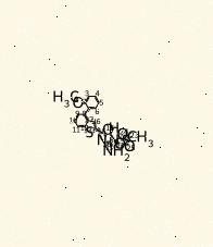 COc1ccccc1-c1cccc2sc(C(=O)N=C(N)NOS(C)(=O)=O)cc12